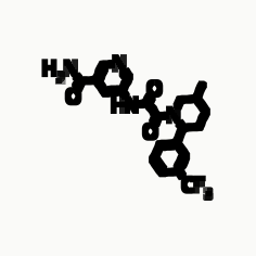 CC1CCC(c2cccc(C(F)(F)F)c2)N(C(=O)C(=O)Nc2cncc(C(N)=O)c2)C1